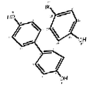 Oc1ccc(-c2ccc(O)cc2)cc1.Oc1ccc(Br)cc1